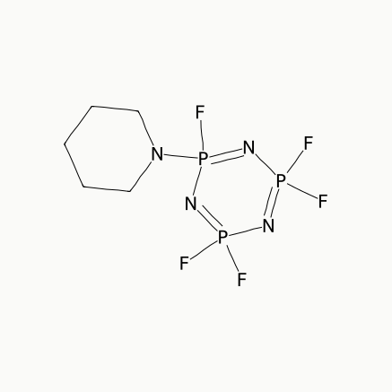 FP1(F)=NP(F)(F)=NP(F)(N2CCCCC2)=N1